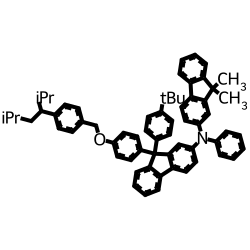 CC(C)CC(c1ccc(COc2ccc(C3(c4ccc(C(C)(C)C)cc4)c4ccccc4-c4ccc(N(c5ccccc5)c5ccc6c(c5)C(C)(C)c5ccccc5-6)cc43)cc2)cc1)C(C)C